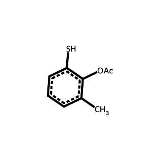 CC(=O)Oc1c(C)cccc1S